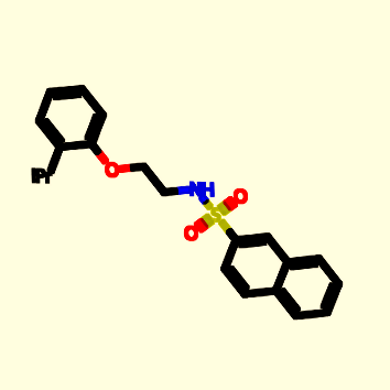 CC(C)c1ccccc1OCCNS(=O)(=O)c1ccc2ccccc2c1